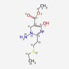 CCOC(=O)C1=C(O)N=C(CCSCC)N(N)C1